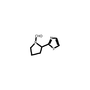 O=CN1CCCC1c1nccs1